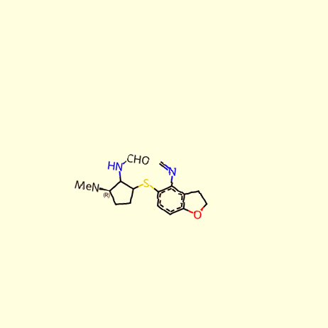 C=Nc1c(SC2CC[C@@H](NC)C2NC=O)ccc2c1CCO2